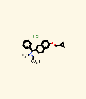 CN(CC(=O)O)C(c1ccccc1)C1CCc2cc(OCC3CC3)ccc2C1.Cl